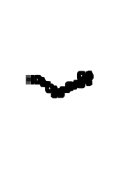 CCC(C)C(=O)OCCOCCOC(C)COCCCO